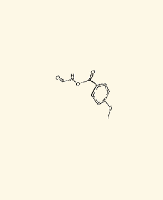 COc1ccc(C(=O)ONC=O)cc1